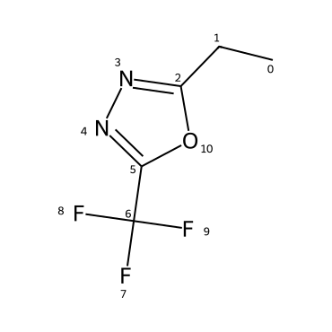 CCc1nnc(C(F)(F)F)o1